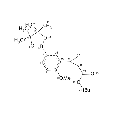 COc1ccc(B2OC(C)(C)C(C)(C)O2)cc1C1CC1C(=O)OC(C)(C)C